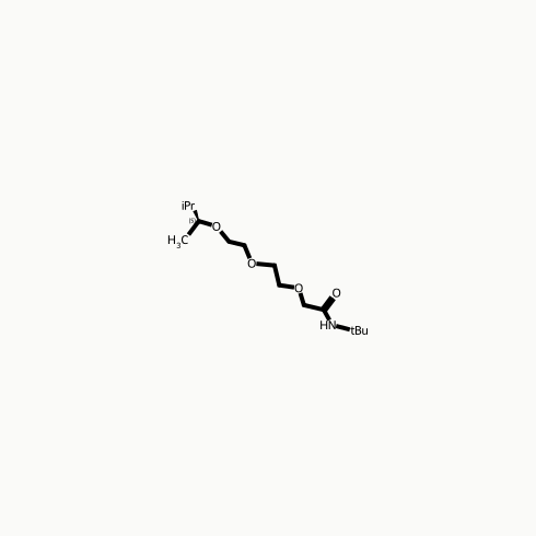 CC(C)[C@H](C)OCCOCCOCC(=O)NC(C)(C)C